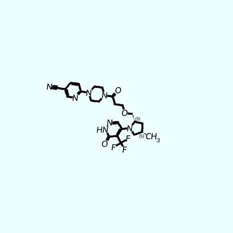 C[C@H]1C[C@@H](COCCC(=O)N2CCN(c3ccc(C#N)cn3)CC2)N(c2cn[nH]c(=O)c2C(F)(F)F)C1